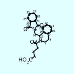 O=C(O)CCCC(=O)N1CCc2ccccc2C1CN1C(=O)c2ccccc2C1=O